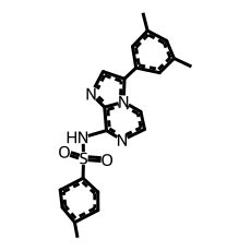 Cc1ccc(S(=O)(=O)Nc2nccn3c(-c4cc(C)cc(C)c4)cnc23)cc1